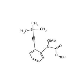 CON(C(=O)OC(C)(C)C)c1ccccc1C#C[Si](C)(C)C